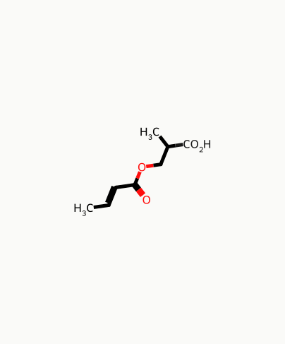 CC=CC(=O)OCC(C)C(=O)O